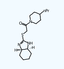 CCCC1CCN(C(=O)CSC2=N[C@H]3CCCC[C@@H]3N2)CC1